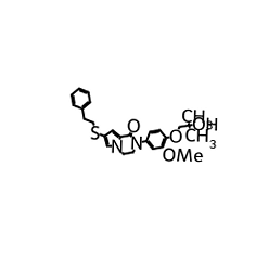 COc1cc(N2CCn3cc(SCCc4ccccc4)cc3C2=O)ccc1OCC(C)(C)O